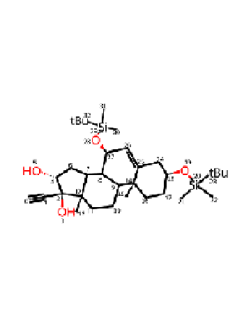 C#C[C@]1(O)[C@H](O)CC2C3C(CC[C@@]21C)[C@@]1(C)CC[C@H](O[Si](C)(C)C(C)(C)C)CC1=C[C@@H]3O[Si](C)(C)C(C)(C)C